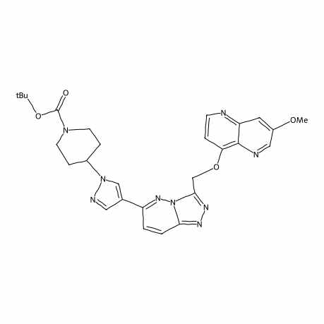 COc1cnc2c(OCc3nnc4ccc(-c5cnn(C6CCN(C(=O)OC(C)(C)C)CC6)c5)nn34)ccnc2c1